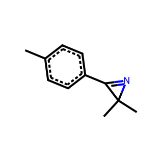 Cc1ccc(C2=NC2(C)C)cc1